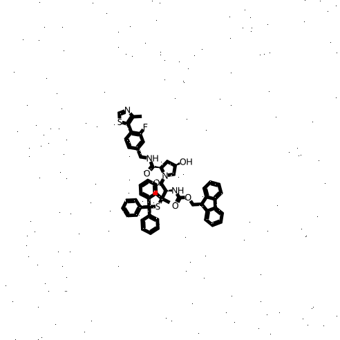 Cc1ncsc1-c1ccc(CNC(=O)[C@H]2C[C@@H](O)CN2C(=O)[C@@H](NC(=O)OCC2c3ccccc3-c3ccccc32)C(C)(C)SC(c2ccccc2)(c2ccccc2)c2ccccc2)cc1F